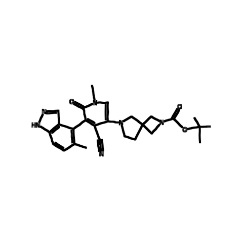 Cc1ccc2[nH]ncc2c1-c1c(C#N)c(N2CCC3(CN(C(=O)OC(C)(C)C)C3)C2)cn(C)c1=O